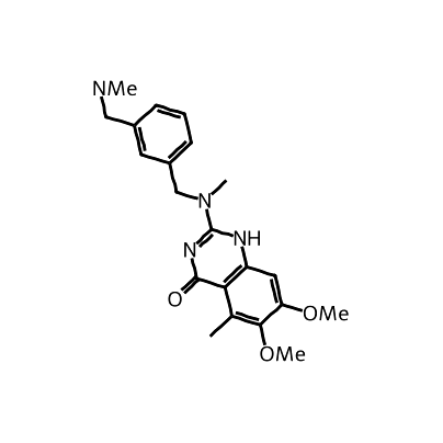 CNCc1cccc(CN(C)c2nc(=O)c3c(C)c(OC)c(OC)cc3[nH]2)c1